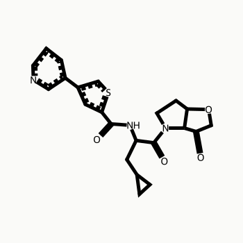 O=C(NC(CC1CC1)C(=O)N1CCC2OCC(=O)C21)c1cc(-c2cccnc2)cs1